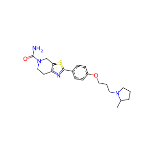 CC1CCCN1CCCOc1ccc(-c2nc3c(s2)CN(C(N)=O)CC3)cc1